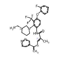 C=C(S/C=C(\C)C(=O)Nc1ccc(Oc2ccccc2F)c(C(F)(F)F)c1N1CCC[C@@H](CN)C1)c1ccnnc1